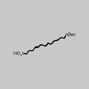 CCCCCCCCCCCCCCCCCCC=CCCCS(=O)(=O)O